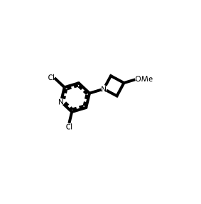 COC1CN(c2cc(Cl)nc(Cl)c2)C1